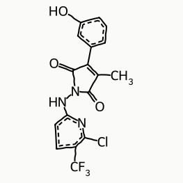 CC1=C(c2cccc(O)c2)C(=O)N(Nc2ccc(C(F)(F)F)c(Cl)n2)C1=O